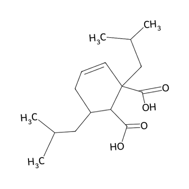 CC(C)CC1CC=CC(CC(C)C)(C(=O)O)C1C(=O)O